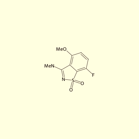 CNC1=NS(=O)(=O)c2c(F)ccc(OC)c21